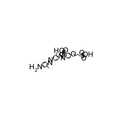 Cc1cc(N)ccc1N=Nc1ccc(N=Nc2ccc(OCCCS(=O)(=O)O)cc2S(=O)(=O)O)c(C)c1